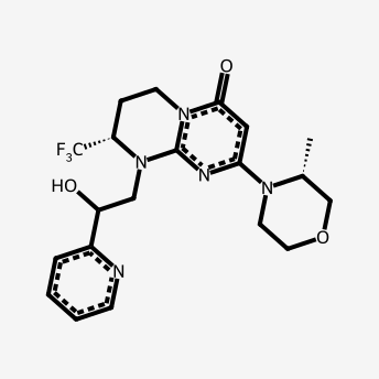 C[C@@H]1COCCN1c1cc(=O)n2c(n1)N(CC(O)c1ccccn1)[C@H](C(F)(F)F)CC2